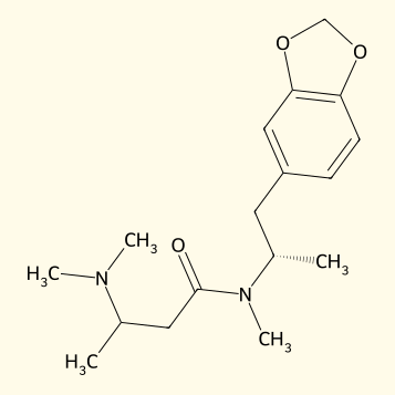 CC(CC(=O)N(C)[C@@H](C)Cc1ccc2c(c1)OCO2)N(C)C